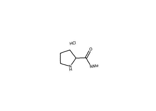 CNC(=O)C1CCCN1.Cl